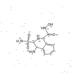 NC1c2ccccc2C(C(=O)NO)NC1S(N)(=O)=O